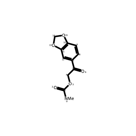 CNC(=O)OCC(=O)c1ccc2c(c1)OCO2